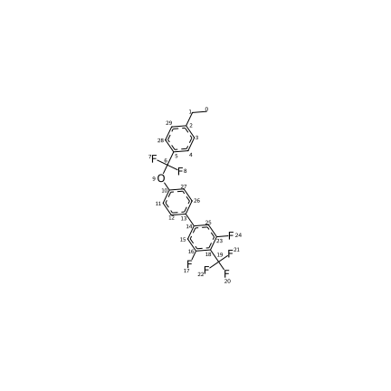 CCc1ccc(C(F)(F)Oc2ccc(-c3cc(F)c(C(F)(F)F)c(F)c3)cc2)cc1